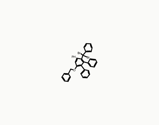 BrC(Br)(c1ccccc1)c1ccc(OCc2ccccc2)c(-c2ccccc2)c1-c1ccccc1.P